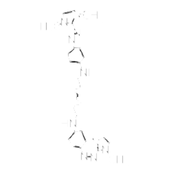 Cn1ccnc1/N=N\c1ccc(NCCSSCCNc2ccc(N=Nc3n(C)cc[n+]3C)cc2)cc1